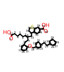 O=C(O)CCCC/C=C(\CCc1ccccc1OCc1ccc(CCc2ccccc2)cc1)CC1CCSc2cc(C(=O)O)ccc21